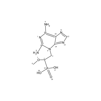 COC(Cn1c(N)nc(N)c2ncnc1-2)P(=O)(O)O